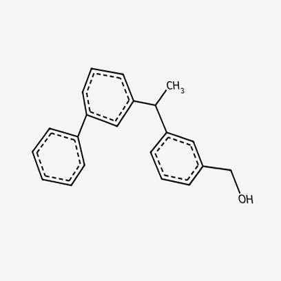 CC(c1cccc(CO)c1)c1cccc(-c2ccccc2)c1